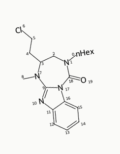 CCCCCCN1CC(CCCl)N(C)c2nc3ccccc3n2C1=O